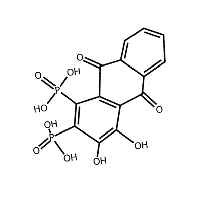 O=C1c2ccccc2C(=O)c2c1c(O)c(O)c(P(=O)(O)O)c2P(=O)(O)O